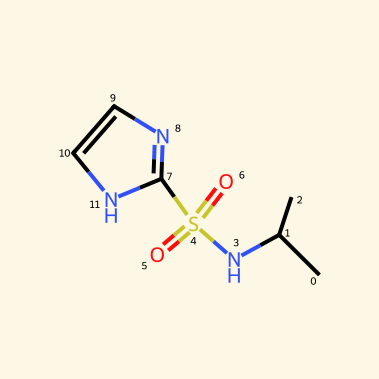 CC(C)NS(=O)(=O)c1ncc[nH]1